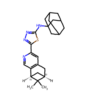 CC1(C)[C@@H]2Cc3cc(-c4nnc(NC56CC7CC(CC(C7)C5)C6)s4)ncc3[C@H]1C2